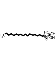 CCCCCCCCCCCCCCCCCC[NH+]([O-])C(C)(O)O